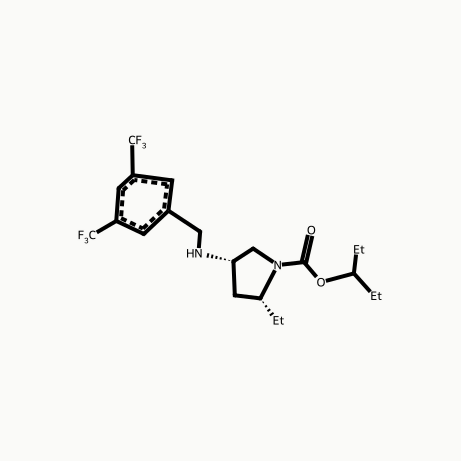 CCC(CC)OC(=O)N1C[C@@H](NCc2cc(C(F)(F)F)cc(C(F)(F)F)c2)C[C@H]1CC